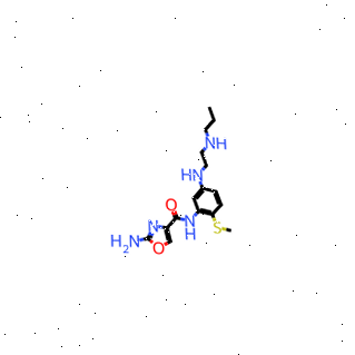 CCCNCCNc1ccc(SC)c(NC(=O)c2coc(N)n2)c1